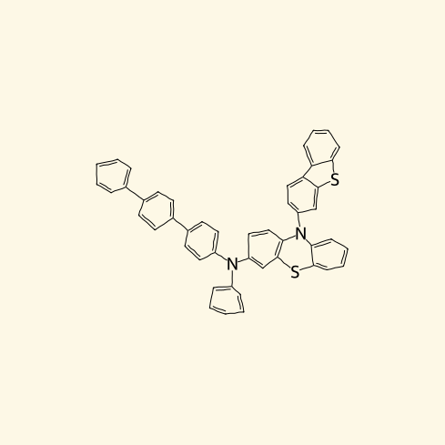 c1ccc(-c2ccc(-c3ccc(N(c4ccccc4)c4ccc5c(c4)Sc4ccccc4N5c4ccc5c(c4)sc4ccccc45)cc3)cc2)cc1